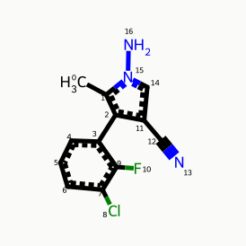 Cc1c(-c2cccc(Cl)c2F)c(C#N)cn1N